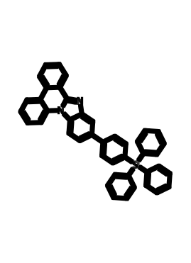 c1ccc([Si](c2ccccc2)(c2ccccc2)c2ccc(-c3ccc4c(c3)nc3c5ccccc5c5ccccc5n43)cc2)cc1